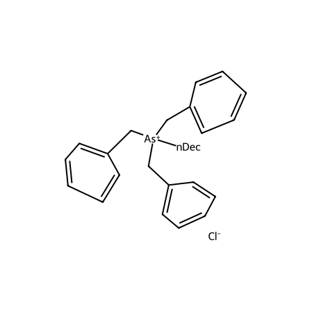 CCCCCCCCCC[As+](Cc1ccccc1)(Cc1ccccc1)Cc1ccccc1.[Cl-]